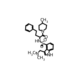 CC1CCN(C(=O)C(CCc2ccccc2)NS(=O)(=O)c2cccc3[nH]cc(CN(C)C)c23)CC1